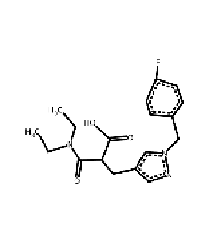 CCN(CC)C(=O)C(Cc1cnn(Cc2ccc(F)cc2)c1)C(=O)O